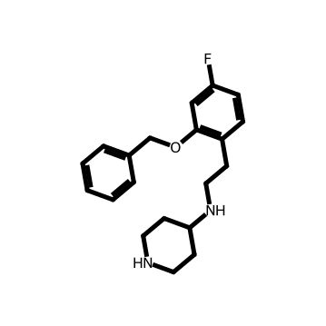 Fc1ccc(CCNC2CCNCC2)c(OCc2ccccc2)c1